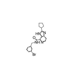 O=C(NCc1cccc(Br)c1)c1nccc2nc(C3CCCC3)[nH]c12